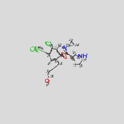 COCCCc1cc(Cl)c(Cl)c(CN(C(=O)[C@@H]2CCCNC2)C2CC2)c1